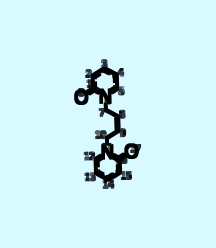 O=c1ccccn1C/C=C\Cn1ccccc1=O